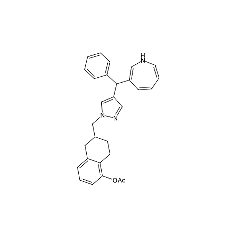 CC(=O)Oc1cccc2c1CCC(Cn1cc(C(C3=CNC=CC=C3)c3ccccc3)cn1)C2